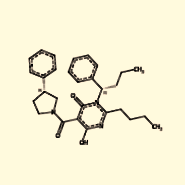 CCCCc1nc(O)c(C(=O)N2CC[C@H](c3ccccc3)C2)c(=O)n1[C@@H](CCC)c1ccccc1